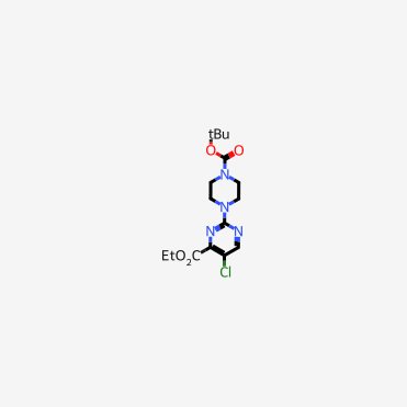 CCOC(=O)c1nc(N2CCN(C(=O)OC(C)(C)C)CC2)ncc1Cl